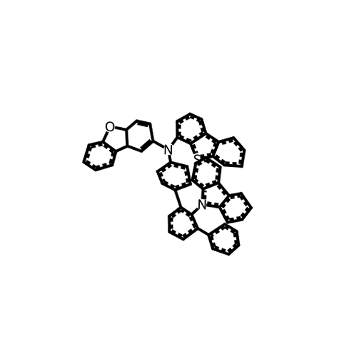 C1=CC2Oc3ccccc3C2C=C1N(c1ccc(-c2cccc(-c3ccccc3)c2-n2c3ccccc3c3ccccc32)cc1)c1cccc2c1sc1ccccc12